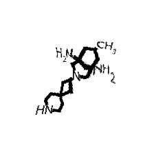 CC1CC2(N)CN(C3CC4(CCNCC4)C3)CC2(N)C1